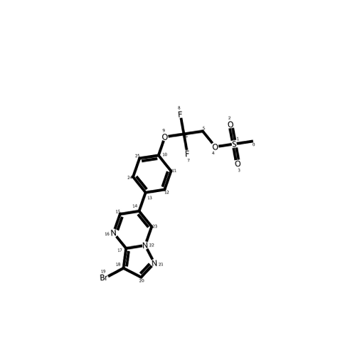 CS(=O)(=O)OCC(F)(F)Oc1ccc(-c2cnc3c(Br)cnn3c2)cc1